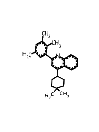 Cc1cc(C)c(C)c(-c2cc(C3CCC(C)(C)CC3)c3ccccc3n2)c1